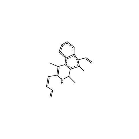 C=C/C=C\C1=C(C)c2c(c(C)c(C=C)c3ccccc23)C(C)N1